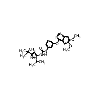 COc1cc2ncnc(Oc3cccc(NC(=O)Nc4cc(C(C)(C)C)nn4C(C)C)c3)c2cc1OC